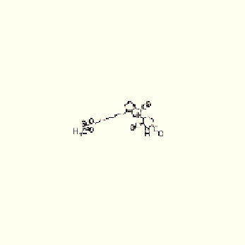 CS(=O)(=O)OCCCCCCCc1cccc2c1CN(C1CCC(=C=O)NC1=C=O)C2=C=O